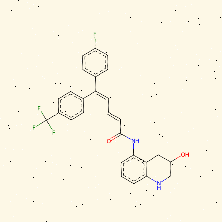 O=C(/C=C/C=C(/c1ccc(F)cc1)c1ccc(C(F)(F)F)cc1)Nc1cccc2c1CC(O)CN2